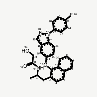 CC(Cc1ccc2ccccc2c1Oc1ccc2c(cnn2-c2ccc(F)cc2)c1)NC(=O)CO